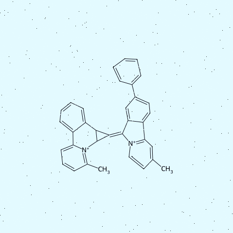 Cc1cc[n+]2c(c1)-c1ccc(-c3ccccc3)cc1/C2=C1\C2c3ccccc3-c3cccc(C)[n+]3C12